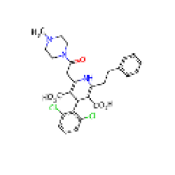 CN1CCN(C(=O)CC2=C(C(=O)O)C(c3c(Cl)cccc3Cl)C(C(=O)O)=C(CCc3ccccc3)N2)CC1